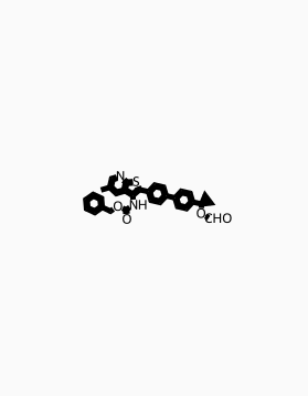 Cc1cnc2sc(-c3ccc(-c4ccc(C5(OC=O)CC5)cc4)cc3)c(NC(=O)OCc3ccccc3)c2c1